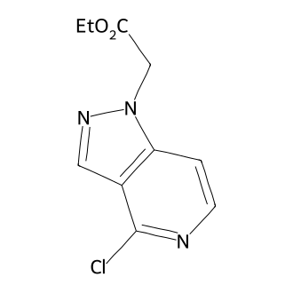 CCOC(=O)Cn1ncc2c(Cl)nccc21